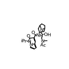 CC(=O)N(C)C[C@H](O)CN1C2CCC1CC(NC(=O)c1cc3cccn3n(C(C)C)c1=O)C2